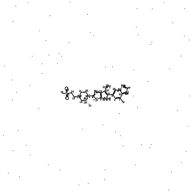 Cc1cc(-c2[nH]c3sc(N4CCN(CCS(C)(=O)=O)C[C@H]4C)nc3c2C(C)C)cn2ncnc12